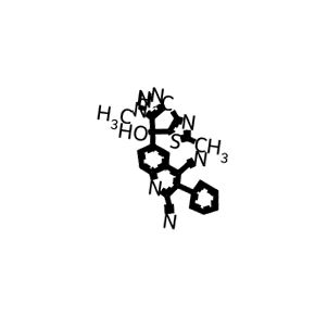 Cc1nc(C)c(C(O)(c2ccc3nc(C#N)c(-c4ccccc4)c(C#N)c3c2)c2cnnn2C)s1